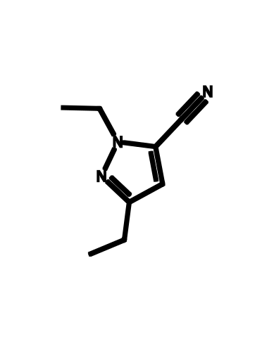 CCc1cc(C#N)n(CC)n1